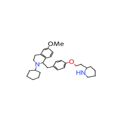 COc1ccc2c(c1)CCN(C1CCCCC1)C2Cc1ccc(OCCC2CCCCN2)cc1